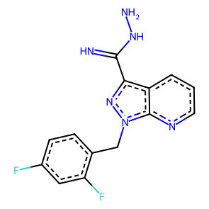 N=C(NN)c1nn(Cc2ccc(F)cc2F)c2ncccc12